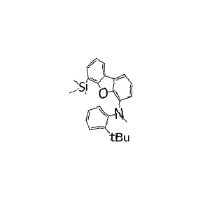 CN(c1ccccc1C(C)(C)C)c1cccc2c1oc1c([Si](C)(C)C)cccc12